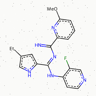 CCc1c[nH]c(/C(=N\C(=N)c2cccc(OC)n2)Nc2ccncc2F)c1